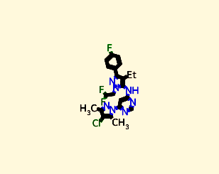 CCc1c(-c2ccc(F)cc2)nn(CC(F)F)c1Nc1cc(-n2nc(C)c(Cl)c2C)ncn1